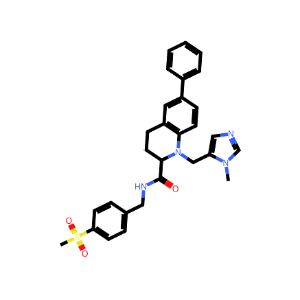 Cn1cncc1CN1c2ccc(-c3ccccc3)cc2C[CH]C1C(=O)NCc1ccc(S(C)(=O)=O)cc1